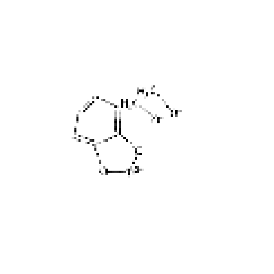 C[O-].C[O-].c1ccc2c(c1)[O][Ti+2][O]2